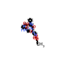 CCCCOC(=O)ON1CCN(C(=O)CNC(=O)c2cc(OCC(=O)N3CCC[C@H]3C(=O)NC3CCC3)n(-c3ccccc3)n2)CC1